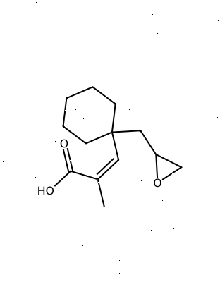 CC(=CC1(CC2CO2)CCCCC1)C(=O)O